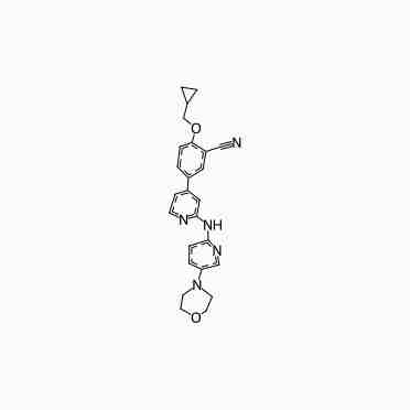 N#Cc1cc(-c2ccnc(Nc3ccc(N4CCOCC4)cn3)c2)ccc1OCC1CC1